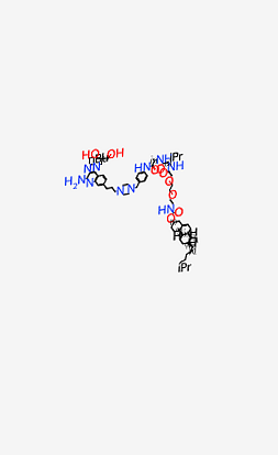 CCCCc1nc2c(N)nc3cc(CCCN4CCN(Cc5ccc(NC(=O)[C@H](C)NC(=O)[C@@H](NC(=O)COCCOCCNC(=O)O[C@H]6CC[C@@]7(C)C(=CC[C@H]8[C@@H]9CC[C@H]([C@H](C)CCCC(C)C)[C@@]9(C)CC[C@@H]87)C6)C(C)C)cc5)CC4)ccc3c2n1CC(C)(CO)CO